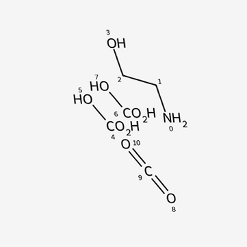 NCCO.O=C(O)O.O=C(O)O.O=C=O